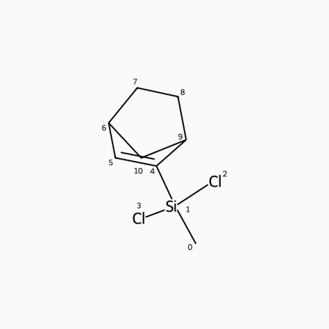 C[Si](Cl)(Cl)C1=CC2CCC1C2